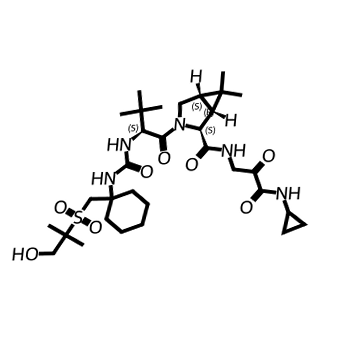 CC(C)(C)[C@H](NC(=O)NC1(CS(=O)(=O)C(C)(C)CO)CCCCC1)C(=O)N1C[C@H]2[C@@H]([C@H]1C(=O)NCC(=O)C(=O)NC1CC1)C2(C)C